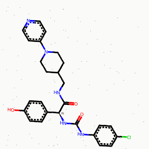 O=C(Nc1ccc(Cl)cc1)N[C@H](C(=O)NCC1CCN(c2ccncc2)CC1)c1ccc(O)cc1